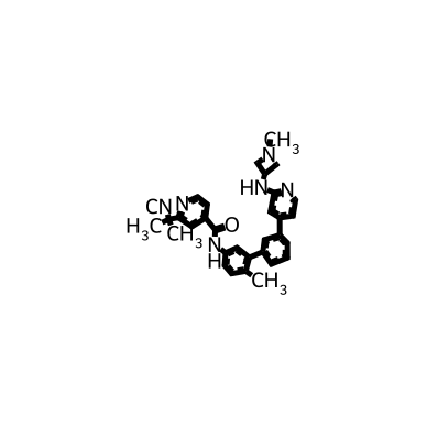 Cc1ccc(NC(=O)c2ccnc(C(C)(C)C#N)c2)cc1-c1cccc(-c2ccnc(NC3CN(C)C3)c2)c1